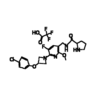 COc1nc(N2CC(Oc3ccc(Cl)cc3)C2)c(F)cc1CNC(=O)C1CCCN1.O=C(O)C(F)(F)F